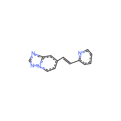 C(=Cc1ccccn1)c1ccn2ncnc2c1